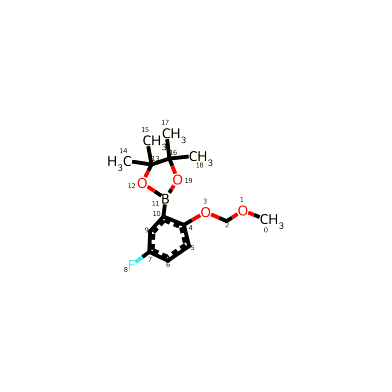 COCOc1ccc(F)cc1B1OC(C)(C)C(C)(C)O1